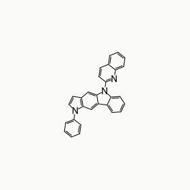 c1ccc(-n2ccc3cc4c(cc32)c2ccccc2n4-c2ccc3ccccc3n2)cc1